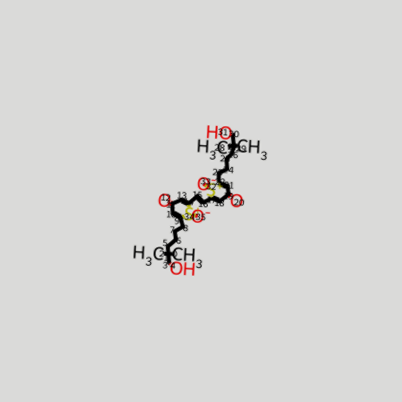 CC(C)(CO)CCCCc1cc(=O)cc(C=Cc2cc(=O)cc(CCCCC(C)(C)CO)[s+]2[O-])[s+]1[O-]